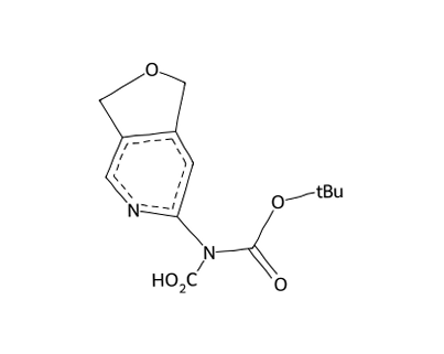 CC(C)(C)OC(=O)N(C(=O)O)c1cc2c(cn1)COC2